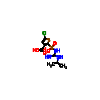 CC(C)NC(=N)NS(=O)(=O)c1sc(Cl)cc1B(O)O